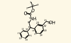 CC(C)(C)OC(=O)NCC(c1ccccc1)c1cccc(CO)c1